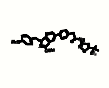 COc1ccc(Cn2nc(OC)c3cc(-c4ccc(CC(=O)Nc5cc(C(C)(C)C(F)(F)F)on5)cc4)cnc32)cc1